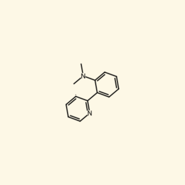 CN(C)c1ccccc1-c1[c]cccn1